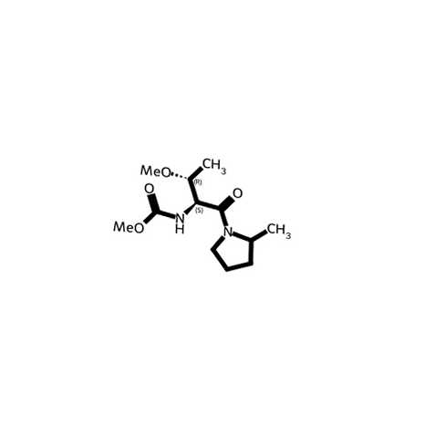 COC(=O)N[C@H](C(=O)N1CCCC1C)[C@@H](C)OC